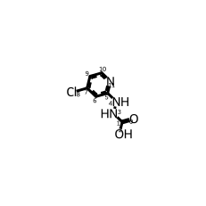 O=C(O)NNc1cc(Cl)ccn1